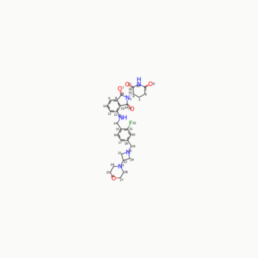 O=C1CC[C@H](N2C(=O)c3cccc(NCc4ccc(CN5CC(N6CCOCC6)C5)cc4F)c3C2=O)C(=O)N1